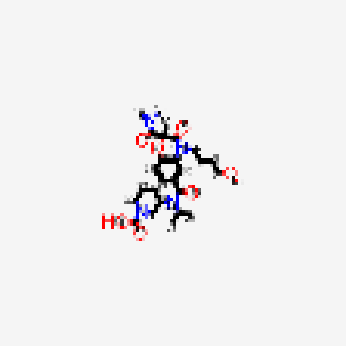 COCCCCN1C(=O)C(C)(C(=O)N(C)C)Oc2ccc(C(=O)N(C(C)C)[C@@H]3CCCN(C(=O)O)C3)cc21